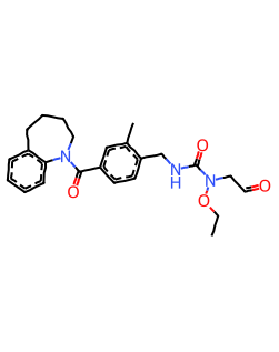 CCON(CC=O)C(=O)NCc1ccc(C(=O)N2CCCCc3ccccc32)cc1C